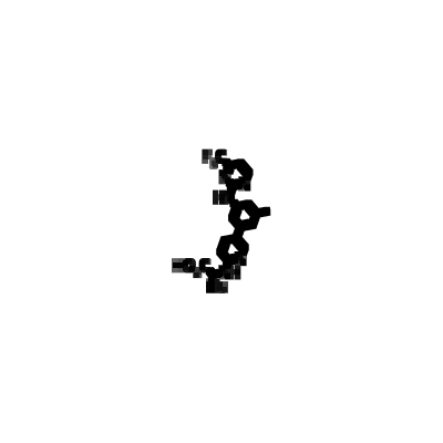 CCC(C)[C@@H](Nc1ccc(-c2cc(C)cc(Nc3nccc(C(F)(F)F)n3)c2)cn1)C(=O)O